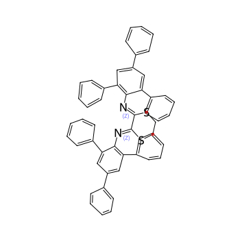 c1ccc(-c2cc(-c3ccccc3)c(/N=C3\SCCS\C3=N/c3c(-c4ccccc4)cc(-c4ccccc4)cc3-c3ccccc3)c(-c3ccccc3)c2)cc1